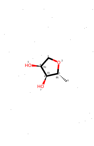 C[C@H]1O[CH][C@H](O)[C@@H]1O